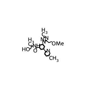 COCCc1nc(C)nn1-c1cc(C(=O)N[C@@H](C)CO)cc(-c2ccc(C)cn2)c1